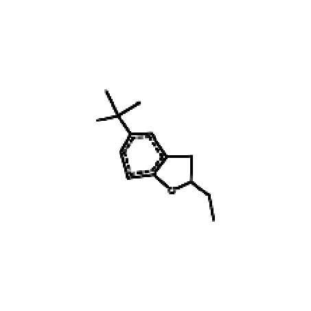 CCC1Cc2cc(C(C)(C)C)ccc2O1